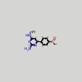 CCCNc1cc(-c2ccc([S+](C)[O-])cc2)nc(N)n1